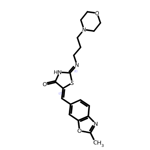 Cc1nc2ccc(/C=C3\S/C(=N/CCCN4CCOCC4)NC3=O)cc2o1